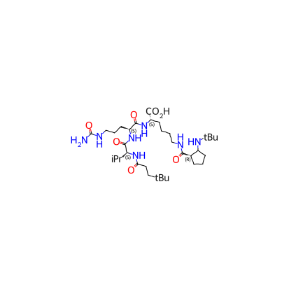 CC(C)[C@H](NC(=O)CCC(C)(C)C)C(=O)N[C@@H](CCCNC(N)=O)C(=O)N[C@@H](CCCCNC(=O)[C@@H]1CCCC1NC(C)(C)C)C(=O)O